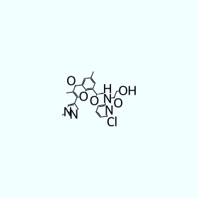 Cc1cc([C@@H](C)Oc2ccc(Cl)nc2NC(=O)CO)c2oc(-c3cnn(C)c3)c(C)c(=O)c2c1